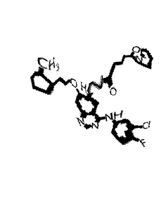 CC1CCCC1CCOc1cc2ncnc(Nc3ccc(F)c(Cl)c3)c2cc1NC(=O)/C=C/CN1CC2CCC1CO2